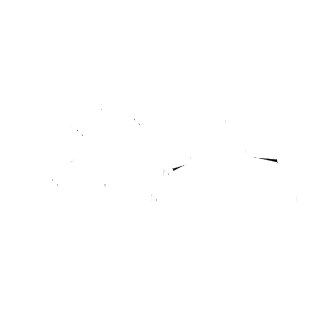 Cc1nn([C@H]2CC(O)[C@@H](CO)O2)c2ncnc(N)c12